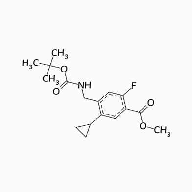 COC(=O)c1cc(C2CC2)c(CNC(=O)OC(C)(C)C)cc1F